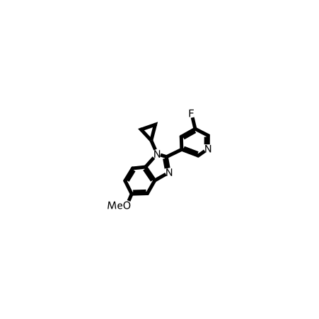 COc1ccc2c(c1)nc(-c1cncc(F)c1)n2C1CC1